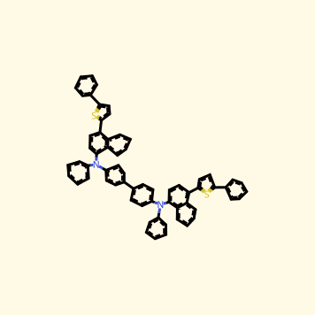 c1ccc(-c2ccc(-c3ccc(N(c4ccccc4)c4ccc(-c5ccc(N(c6ccccc6)c6ccc(-c7ccc(-c8ccccc8)s7)c7ccccc67)cc5)cc4)c4ccccc34)s2)cc1